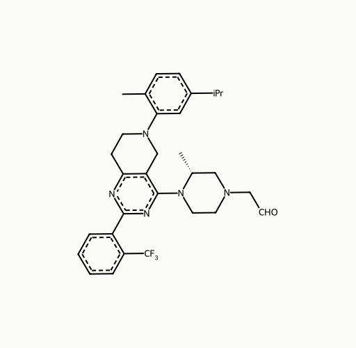 Cc1ccc(C(C)C)cc1N1CCc2nc(-c3ccccc3C(F)(F)F)nc(N3CCN(CC=O)C[C@H]3C)c2C1